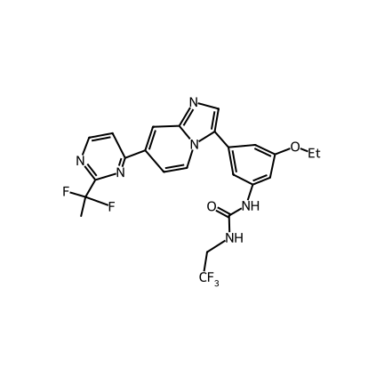 CCOc1cc(NC(=O)NCC(F)(F)F)cc(-c2cnc3cc(-c4ccnc(C(C)(F)F)n4)ccn23)c1